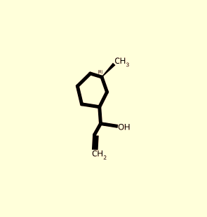 C=CC(O)C1CCC[C@@H](C)C1